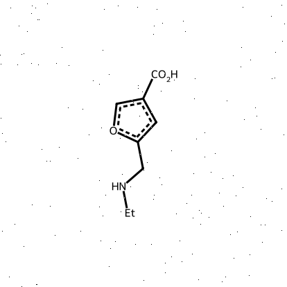 CCNCc1cc(C(=O)O)co1